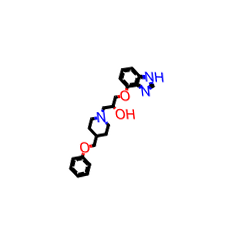 OC(COc1cccc2[nH]cnc12)CN1CCC(COc2ccccc2)CC1